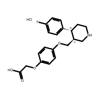 Cl.O=C(O)COc1ccc(OC[C@@H]2CNCC[C@H]2c2ccc(F)cc2)cc1